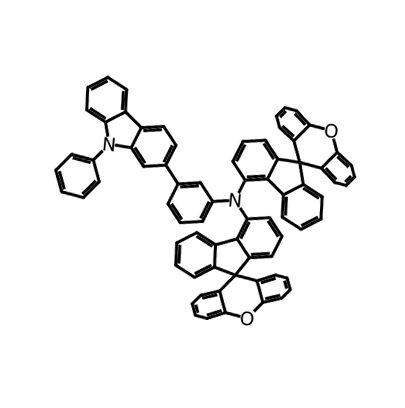 c1ccc(-n2c3ccccc3c3ccc(-c4cccc(N(c5cccc6c5-c5ccccc5C65c6ccccc6Oc6ccccc65)c5cccc6c5-c5ccccc5C65c6ccccc6Oc6ccccc65)c4)cc32)cc1